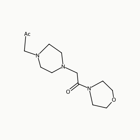 CC(=O)CN1CCN(CC(=O)N2CCOCC2)CC1